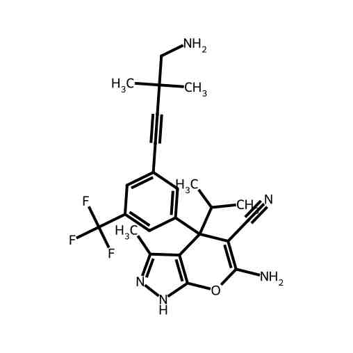 Cc1n[nH]c2c1C(c1cc(C#CC(C)(C)CN)cc(C(F)(F)F)c1)(C(C)C)C(C#N)=C(N)O2